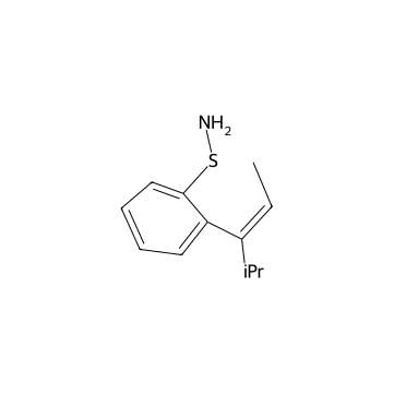 C/C=C(\c1ccccc1SN)C(C)C